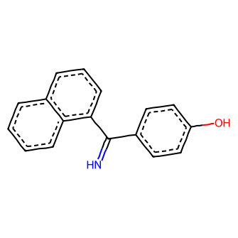 N=C(c1ccc(O)cc1)c1cccc2ccccc12